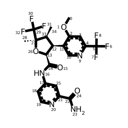 COc1cc(C(F)(F)F)ncc1[C@H]1[C@@H](C(=O)Nc2ccnc(C(N)=O)c2)O[C@@](C)(C(F)(F)F)[C@H]1C